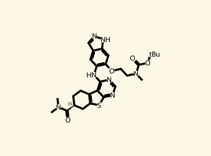 CN(C)C(=O)[C@H]1CCc2c(sc3ncnc(Nc4cc5cn[nH]c5cc4OCCN(C)C(=O)OC(C)(C)C)c23)C1